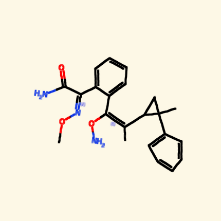 CO/N=C(\C(N)=O)c1ccccc1/C(ON)=C(/C)C1CC1(C)c1ccccc1